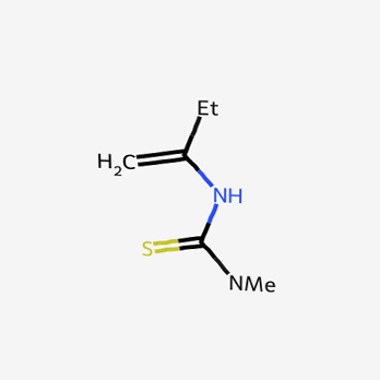 C=C(CC)NC(=S)NC